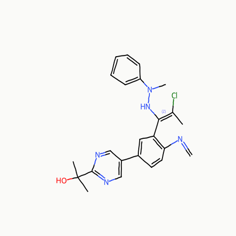 C=Nc1ccc(-c2cnc(C(C)(C)O)nc2)cc1/C(NN(C)c1ccccc1)=C(\C)Cl